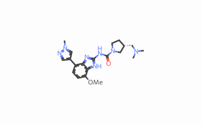 COc1ccc(-c2cnn(C)c2)c2nc(NC(=O)N3CC[C@H](CN(C)C)C3)[nH]c12